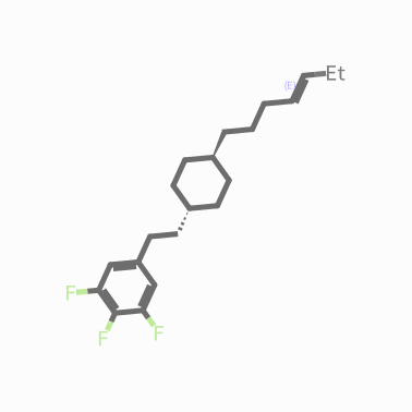 CC/C=C/CCC[C@H]1CC[C@H](CCc2cc(F)c(F)c(F)c2)CC1